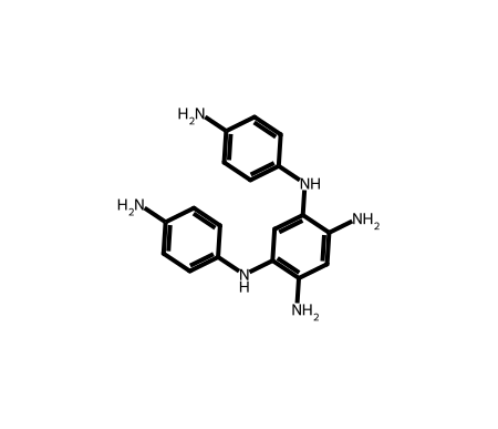 Nc1ccc(Nc2cc(Nc3ccc(N)cc3)c(N)cc2N)cc1